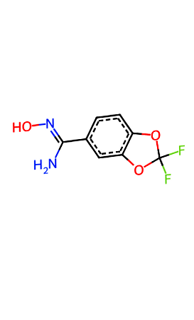 N/C(=N\O)c1ccc2c(c1)OC(F)(F)O2